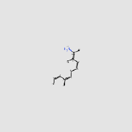 C/C=C\C(C)=C/C/C=C\C(C)=C(/C)N